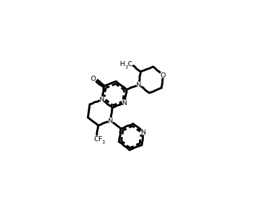 CC1COCCN1c1cc(=O)n2c(n1)N(c1cccnc1)C(C(F)(F)F)CC2